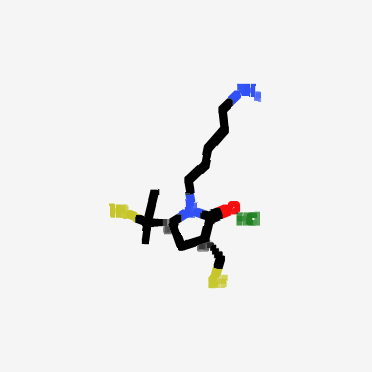 CC(C)(S)[C@H]1C[C@@H](CS)C(=O)N1CCCCCN.Cl